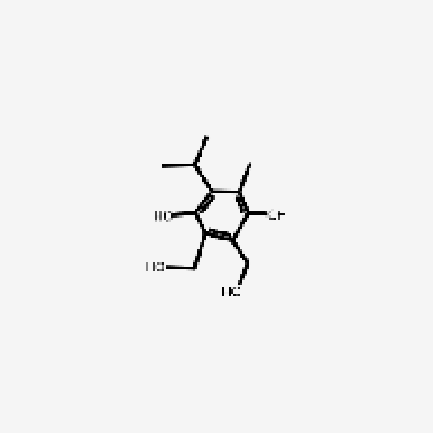 Cc1c(O)c(CO)c(CO)c(O)c1C(C)C